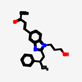 COC(=O)/C=C/c1ccc2c(c1)nc(CC(C)c1ccccc1)n2CCCO